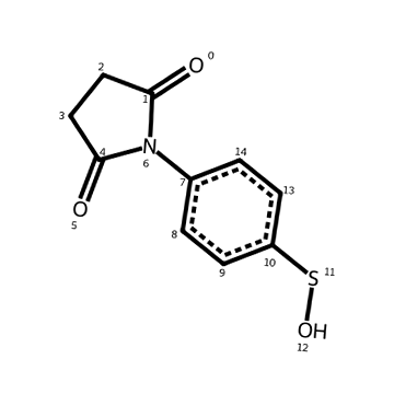 O=C1CCC(=O)N1c1ccc(SO)cc1